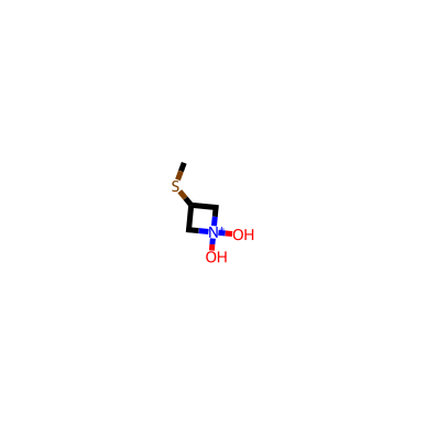 CSC1C[N+](O)(O)C1